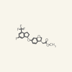 COC(=O)C[C@@H]1COc2cc(O[C@@H]3CCc4c3cc(F)cc4C(F)(F)F)ccc21